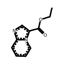 CCOC(=O)c1cnc2ccccn12